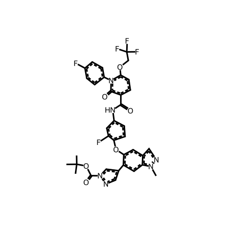 Cn1ncc2cc(Oc3ccc(NC(=O)c4ccc(OCC(F)(F)F)n(-c5ccc(F)cc5)c4=O)cc3F)c(-c3cnn(C(=O)OC(C)(C)C)c3)cc21